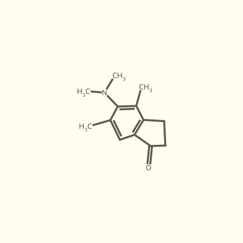 Cc1cc2c(c(C)c1N(C)C)CCC2=O